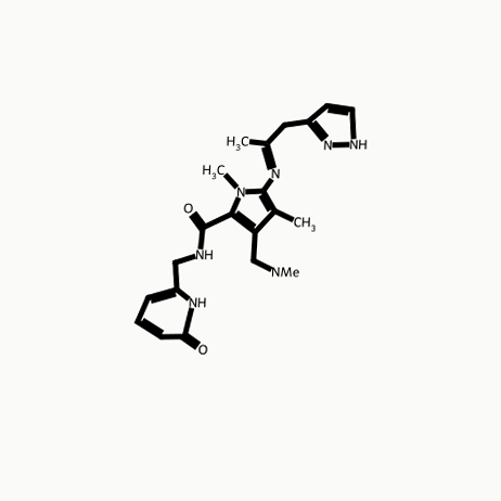 CNCc1c(C)c(/N=C(\C)Cc2cc[nH]n2)n(C)c1C(=O)NCc1cccc(=O)[nH]1